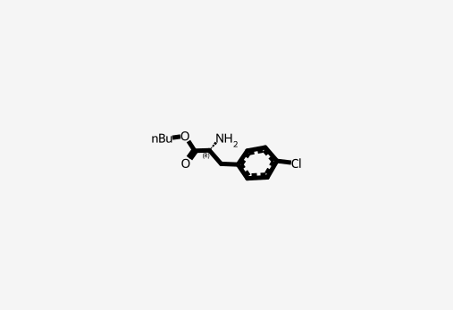 CCCCOC(=O)[C@H](N)Cc1ccc(Cl)cc1